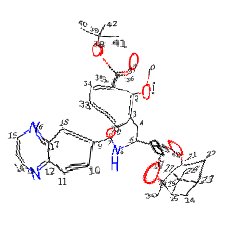 COc1c(CC(NC(=O)c2ccc3nccnc3c2)B2OC3CC4CC(C4(C)C)C3(C)O2)cccc1C(=O)OC(C)(C)C